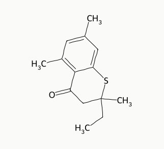 CCC1(C)CC(=O)c2c(C)cc(C)cc2S1